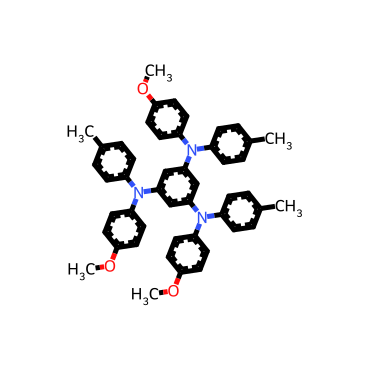 COc1ccc(N(c2ccc(C)cc2)c2cc(N(c3ccc(C)cc3)c3ccc(OC)cc3)cc(N(c3ccc(C)cc3)c3ccc(OC)cc3)c2)cc1